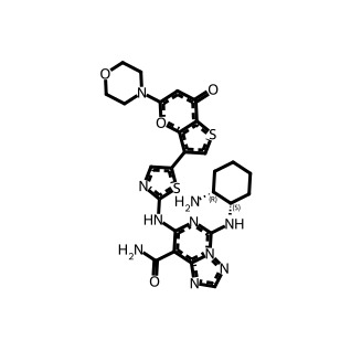 NC(=O)c1c(Nc2ncc(-c3csc4c(=O)cc(N5CCOCC5)oc34)s2)nc(N[C@H]2CCCC[C@H]2N)n2ncnc12